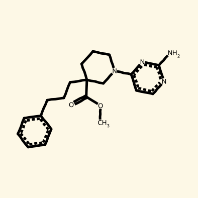 COC(=O)C1(CCCc2ccccc2)CCCN(c2ccnc(N)n2)C1